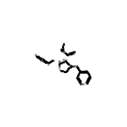 COC(=O)[C@H]1[C@@H](CN=[N+]=[N-])CCN1Cc1ccccc1